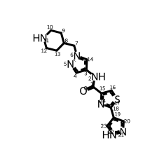 O=C(Nc1cnn(CC2CCNCC2)c1)c1csc(-c2cn[nH]c2)n1